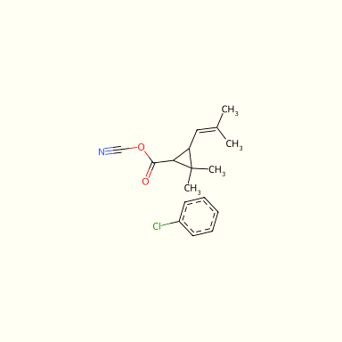 CC(C)=CC1C(C(=O)OC#N)C1(C)C.Clc1ccccc1